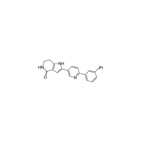 CC(C)c1cccc(-c2ccc(-c3cc4c([nH]3)CCNC4=O)cn2)c1